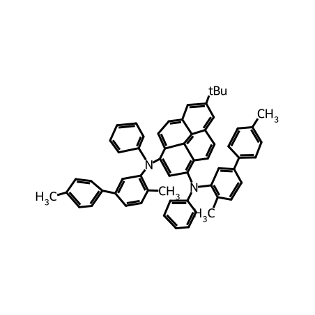 Cc1ccc(-c2ccc(C)c(N(c3ccccc3)c3cc(N(c4ccccc4)c4cc(-c5ccc(C)cc5)ccc4C)c4ccc5cc(C(C)(C)C)cc6ccc3c4c65)c2)cc1